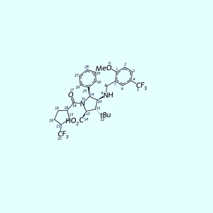 COc1ccc(C(F)(F)F)cc1CN[C@H]1[C@H](C(C)(C)C)[C@@H](C(=O)O)N(C(=O)C2CCC(C(F)(F)F)C2)[C@H]1c1ccccc1